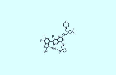 C=Nc1sc2c(F)c(F)cc(-c3ncc4c(N(C)CC5(N(C)C)CCC5)nc(OCC5(CN6CCOCC6)CC(F)(F)C5)nc4c3F)c2c1C#N